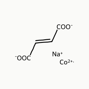 O=C([O-])/C=C/C(=O)[O-].[Co+2].[Na+]